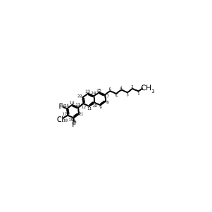 CCCCCCCc1ccc2cc(-c3cc(F)c(Cl)c(F)c3)ccc2c1